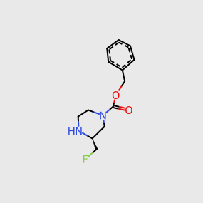 O=C(OCc1ccccc1)N1CCN[C@H](CF)C1